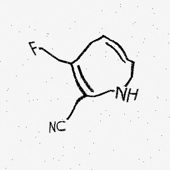 N#Cc1[nH]ccc1F